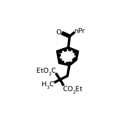 CCCC(=O)c1ccc(CC(C)(C(=O)OCC)C(=O)OCC)cc1